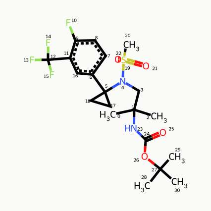 CC(C)(CN(C1(c2ccc(F)c(C(F)(F)F)c2)CC1)S(C)(=O)=O)NC(=O)OC(C)(C)C